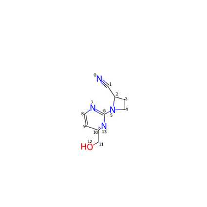 N#CC1CCN1c1nccc(CO)n1